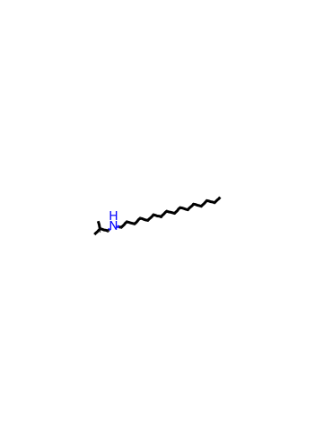 CCCCCCCCCCCCCCCCNC[C](C)C